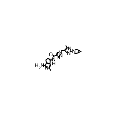 Cc1cc2c(c(N)n1)CC[C@H]2NC(=O)c1cn(Cc2cnc(N3CC4CC4C3)nc2C)nn1